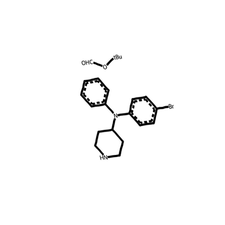 Brc1ccc(N(c2ccccc2)C2CCNCC2)cc1.CC(C)(C)OC=O